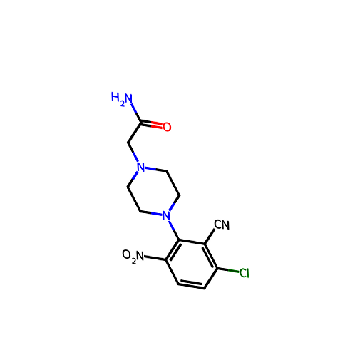 N#Cc1c(Cl)ccc([N+](=O)[O-])c1N1CCN(CC(N)=O)CC1